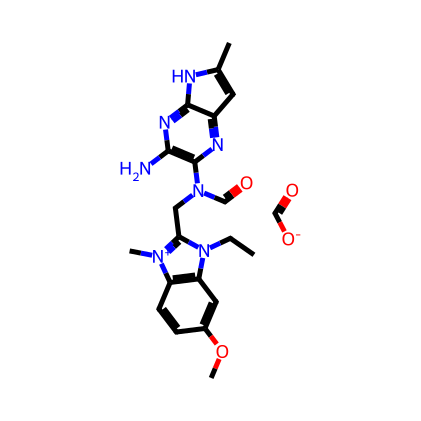 CCn1c(CN(C=O)c2nc3cc(C)[nH]c3nc2N)[n+](C)c2ccc(OC)cc21.O=C[O-]